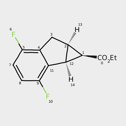 CCOC(=O)[C@@H]1[C@@H]2Cc3c(F)ccc(F)c3[C@@H]21